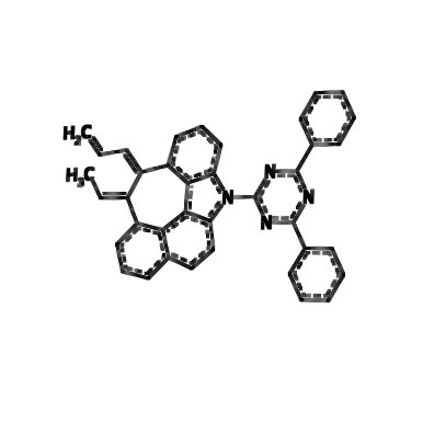 C=C/C=C1\C(=C/C)c2cccc3ccc4c(c23)c2c1cccc2n4-c1nc(-c2ccccc2)nc(-c2ccccc2)n1